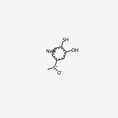 C[S+]([O-])c1ccc(S)c(O)c1.[NaH]